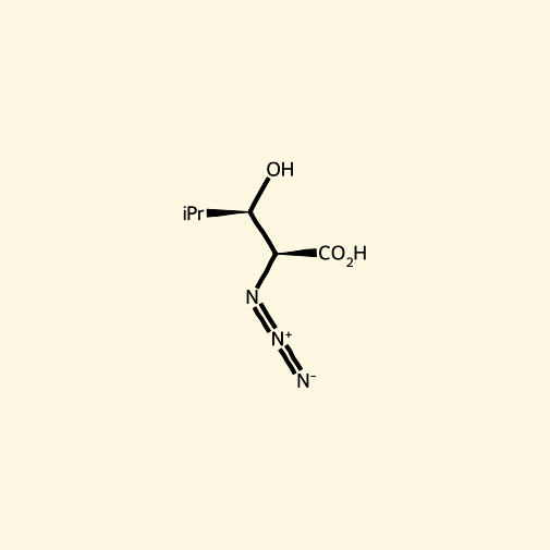 CC(C)[C@@H](O)[C@H](N=[N+]=[N-])C(=O)O